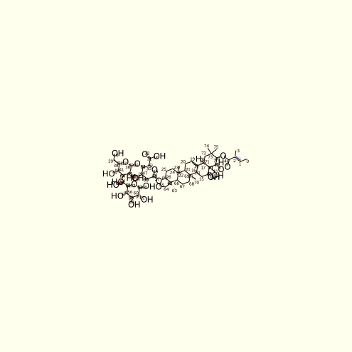 C/C=C(\C)C(=O)O[C@H]1[C@H](O)[C@]2(CO)[C@H](O)C[C@]3(C)C(=CCC4[C@@]5(C)CC[C@H](O[C@@H]6O[C@H](C(=O)O)[C@@H](O[C@@H]7O[C@H](CO)[C@@H](O)[C@H](O)[C@H]7O)[C@H](O)[C@H]6O[C@@H]6O[C@H](CO)[C@@H](O)[C@H](O)[C@H]6O)[C@](C)(CO)C5CC[C@]43C)[C@@H]2CC1(C)C